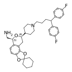 NC[C@H]1O[C@@H](C2CCN(CCCC(c3ccc(F)cc3)c3ccc(F)cc3)CC2)Cc2c1ccc1c2OC2(CCCCC2)O1